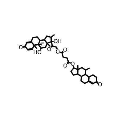 CC1CC2(C)C(OC(=O)CCC(=O)OCC(=O)C3(O)C(C)CC4C5CCC6=CC(=O)C=CC6(C)C5(F)C(O)CC43C)CCC2C2CCC3=CC(=O)CCC3C12